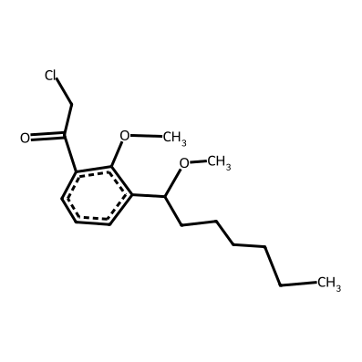 CCCCCCC(OC)c1cccc(C(=O)CCl)c1OC